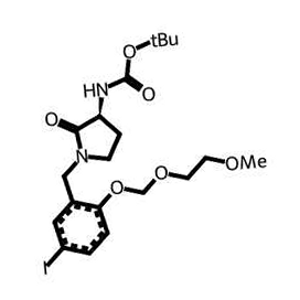 COCCOCOc1ccc(I)cc1CN1CC[C@H](NC(=O)OC(C)(C)C)C1=O